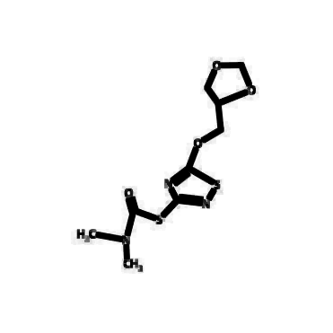 CN(C)C(=O)Sc1nsc(OCC2COCO2)n1